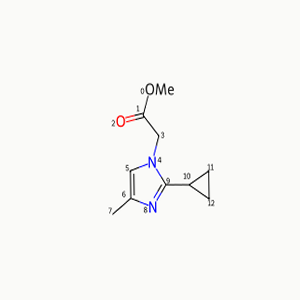 COC(=O)Cn1cc(C)nc1C1CC1